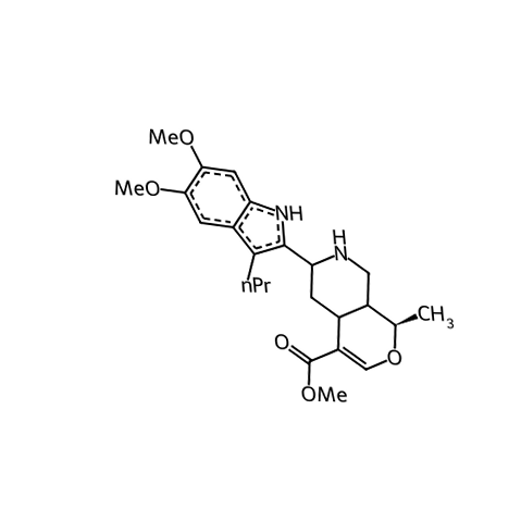 CCCc1c(C2CC3C(C(=O)OC)=CO[C@H](C)C3CN2)[nH]c2cc(OC)c(OC)cc12